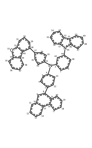 c1cc(N(c2ccc(-c3cc4ccccc4c4ccccc34)cc2)c2ccc(-c3cccc4oc5ccccc5c34)cc2)cc(-n2c3ccccc3c3ccccc32)c1